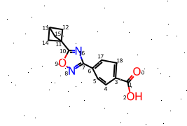 O=C(O)c1ccc(-c2noc(C34CC(C3)C4)n2)cc1